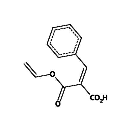 C=COC(=O)C(=Cc1ccccc1)C(=O)O